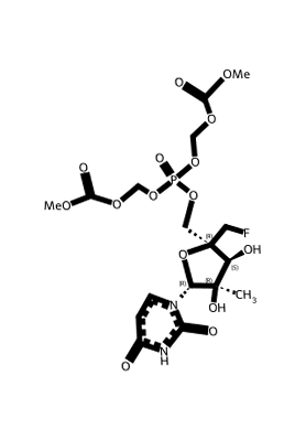 COC(=O)OCOP(=O)(OCOC(=O)OC)OC[C@@]1(CF)O[C@@H](n2ccc(=O)[nH]c2=O)[C@](C)(O)[C@@H]1O